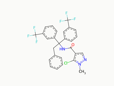 Cn1ncc(C(=O)NC(Cc2ccccc2)(c2cccc(C(F)(F)F)c2)c2cccc(C(F)(F)F)c2)c1Cl